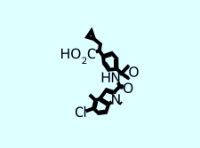 Cc1c(Cl)ccc2c1cc(C(=O)NC1(c3ccc(C(CC4CC4)C(=O)O)cc3)COC1)n2C